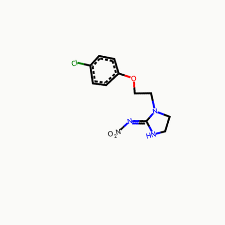 O=[N+]([O-])/N=C1\NCCN1CCOc1ccc(Cl)cc1